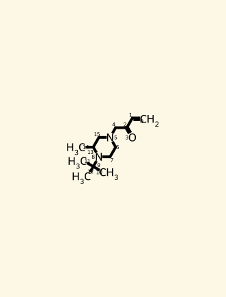 C=CC(=O)CN1CCN(C(C)(C)C)C(C)C1